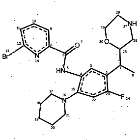 CC(c1cc(NC(=O)c2cccc(Br)n2)c(N2CCCCC2)cc1F)C1CNCCO1